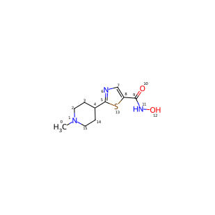 CN1CCC(c2ncc(C(=O)NO)s2)CC1